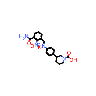 NC(=O)c1cccc(C=Nc2ccc(C3CCCN(C(=O)O)C3)cc2)c1[N+](=O)[O-]